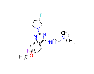 CO[C@]1(I)C=c2nc(N3CCC(F)C3)nc(NCCN(C)C)c2=CC1